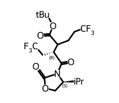 CC(C)[C@H]1COC(=O)N1C(=O)[C@H](CC(F)(F)F)C(CCC(F)(F)F)C(=O)OC(C)(C)C